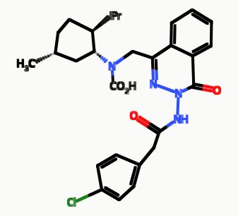 CC(C)[C@@H]1CC[C@@H](C)C[C@H]1N(Cc1nn(NC(=O)Cc2ccc(Cl)cc2)c(=O)c2ccccc12)C(=O)O